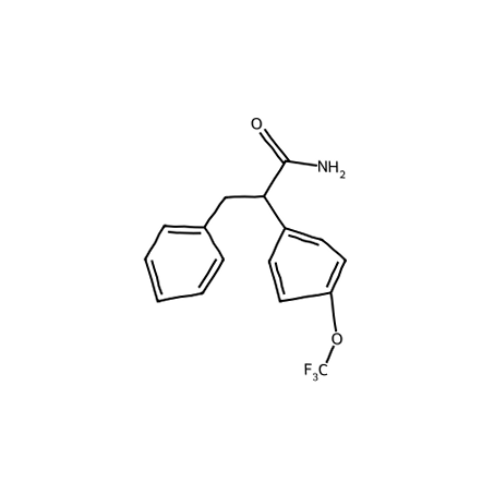 NC(=O)C(Cc1ccccc1)c1ccc(OC(F)(F)F)cc1